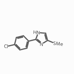 CSc1c[nH]c(-c2ccc(Cl)cc2)n1